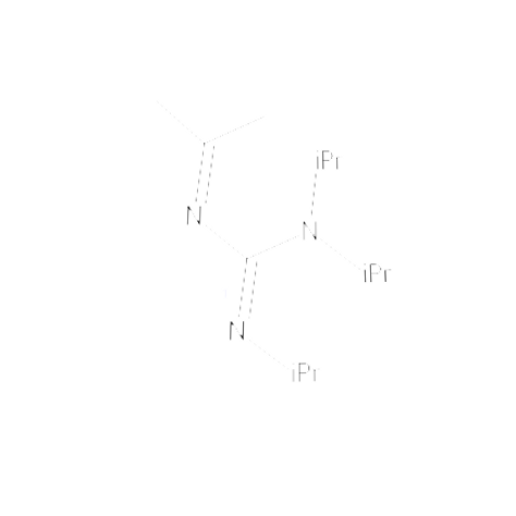 CC(C)=N/C(=N/C(C)C)N(C(C)C)C(C)C